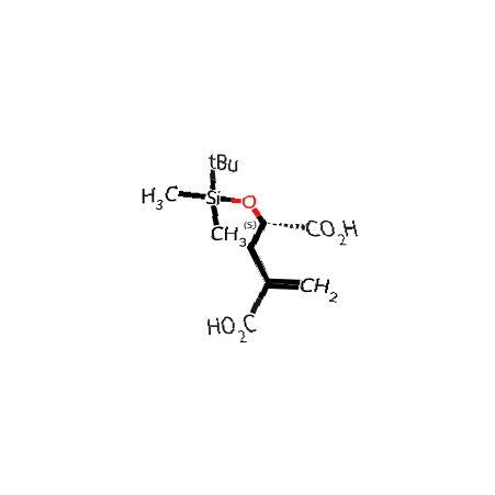 C=C(C[C@H](O[Si](C)(C)C(C)(C)C)C(=O)O)C(=O)O